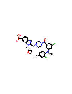 Cc1ccc(N(C)c2cc(F)cc(C(=O)N3CCN(Cc4nc5ccc(C(=O)O)cc5n4C[C@@H]4CCO4)CC3)c2)c(Cl)c1